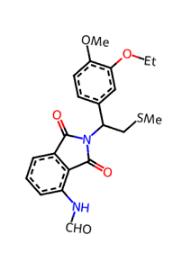 CCOc1cc(C(CSC)N2C(=O)c3cccc(NC=O)c3C2=O)ccc1OC